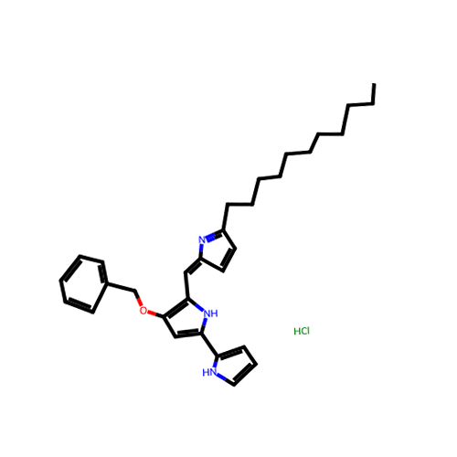 CCCCCCCCCCCC1=N/C(=C/c2[nH]c(-c3ccc[nH]3)cc2OCc2ccccc2)C=C1.Cl